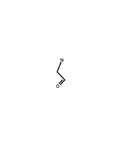 [N]CC=O